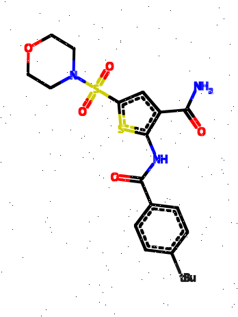 CC(C)(C)c1ccc(C(=O)Nc2sc(S(=O)(=O)N3CCOCC3)cc2C(N)=O)cc1